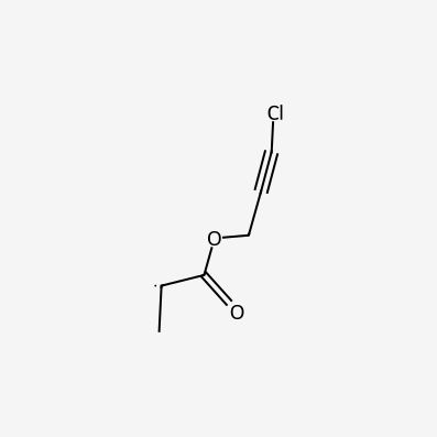 C[CH]C(=O)OCC#CCl